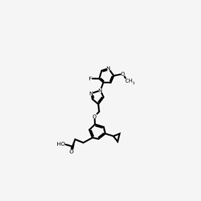 COc1cc(-n2cc(COc3cc(CCC(=O)O)cc(C4CC4)c3)cn2)c(F)cn1